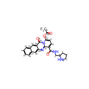 O=C(NCC1CCCN1)c1ccc(OC(=O)C(F)(F)F)n2c(=O)c3cc4ccccc4cc3nc12